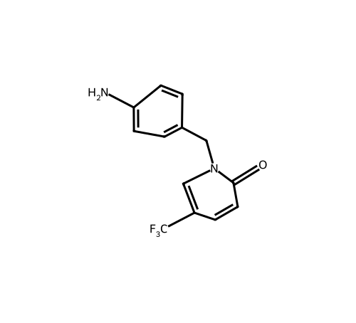 Nc1ccc(Cn2cc(C(F)(F)F)ccc2=O)cc1